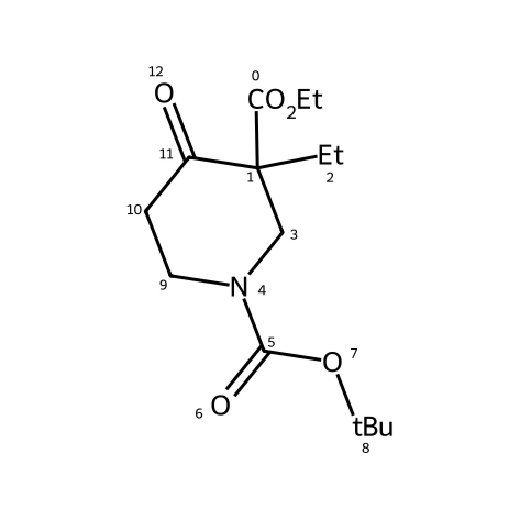 CCOC(=O)C1(CC)CN(C(=O)OC(C)(C)C)CCC1=O